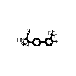 N#Cc1[nH]nnc1-c1ccc(-c2ccc(F)c(C(F)(F)F)c2)cc1